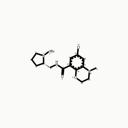 CCCCN1CCC[C@H]1CNC(=O)c1cc(Cl)cc2c1OCCN2C